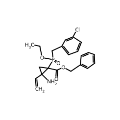 C=CC1(N)CC1(C(=O)OCc1ccccc1)P(=O)(Cc1cccc(Cl)c1)OCC